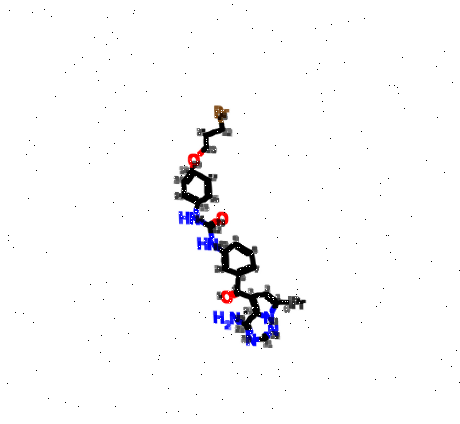 CC(C)c1cc(C(=O)c2cccc(NC(=O)Nc3ccc(OCCCBr)cc3)c2)c2c(N)ncnn12